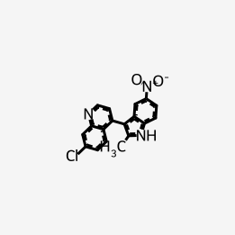 Cc1[nH]c2ccc([N+](=O)[O-])cc2c1-c1ccnc2cc(Cl)ccc12